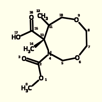 COC(=O)N1COCCOCC(C)[C@@]1(C)C(=O)O